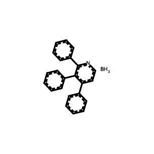 B.c1ccc(-c2ccnc(-c3ccccc3)c2-c2ccccc2)cc1